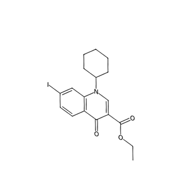 CCOC(=O)c1cn(C2CCCCC2)c2cc(I)ccc2c1=O